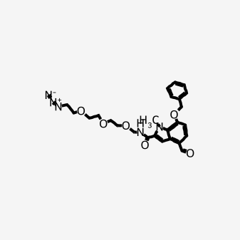 Cn1c(C(=O)NCOCCOCCOCCN=[N+]=[N-])cc2c(C=O)ccc(OCc3ccccc3)c21